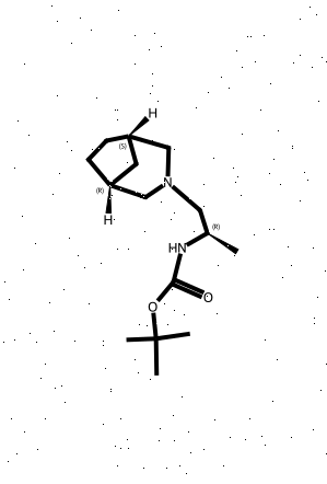 C[C@H](CN1C[C@@H]2CC[C@@H](C2)C1)NC(=O)OC(C)(C)C